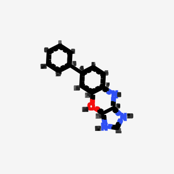 c1ccc(-c2ccc3nc4ncnc-4oc3c2)cc1